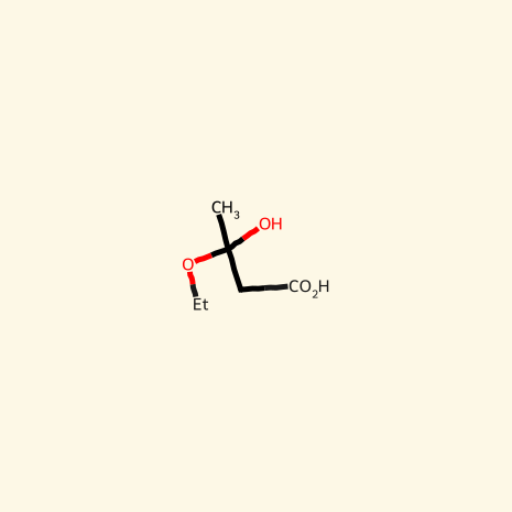 CCOC(C)(O)CC(=O)O